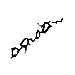 CCCCOc1ccc(-c2ccc(CCc3ccc(-c4ccc(C)cc4)c(F)c3F)cc2)c(F)c1